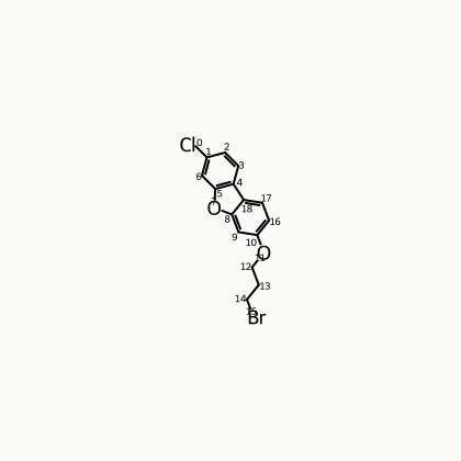 Clc1ccc2c(c1)oc1cc(OCCCBr)ccc12